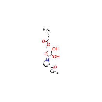 CCCCC(=O)OC[C@H]1O[C@@H]([n+]2cccc(C(C)=O)c2)[C@H](O)[C@@H]1O